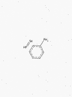 P=[Se].Pc1ccccc1